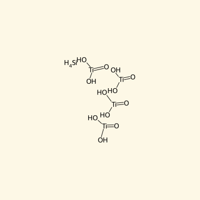 [O]=[Ti]([OH])[OH].[O]=[Ti]([OH])[OH].[O]=[Ti]([OH])[OH].[O]=[Ti]([OH])[OH].[SiH4]